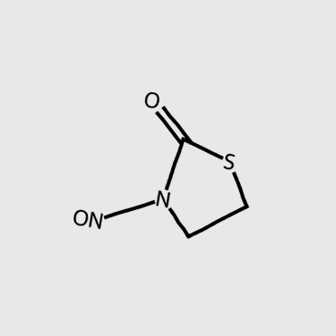 O=NN1CCSC1=O